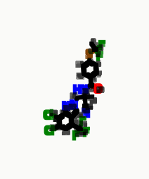 CC(F)(F)Sc1ccc(C(=O)N[C@](C)(C#N)Cn2cc3c(C(F)(F)F)cc(Cl)c(Cl)c3n2)cc1